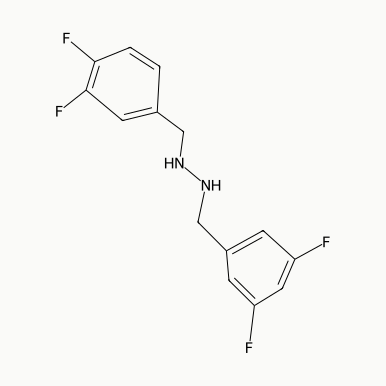 Fc1cc(F)cc(CNNCc2ccc(F)c(F)c2)c1